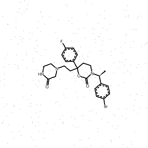 C[C@@H](c1ccc(Br)cc1)N1CCC(CCN2CCNC(=O)C2)(c2ccc(F)cc2)OC1=O